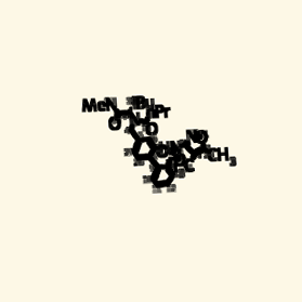 CCCC(=O)N(Cc1ccc(-c2ccccc2S(=O)(=O)Nc2noc(C)c2C)cc1)[C@H](C(=O)NC)[C@@H](C)CC